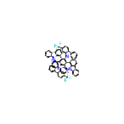 N#Cc1c(-c2cccc3c4ccccc4n(-c4ccccc4)c23)c(-n2c3ccccc3c3ccc(C(F)(F)F)cc32)c(-c2cccc3c4ccccc4n(-c4ccccc4)c23)c(C#N)c1-n1c2ccccc2c2ccc(C(F)(F)F)cc21